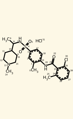 Cc1cc(S(=O)(=O)NC(C)C2CCN(C)CC2)ccc1NC(=O)c1c(C)cccc1Cl.Cl